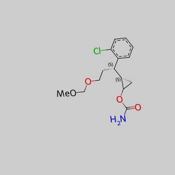 COCOCC[C@H](c1ccccc1Cl)[C@@H]1CC1OC(N)=O